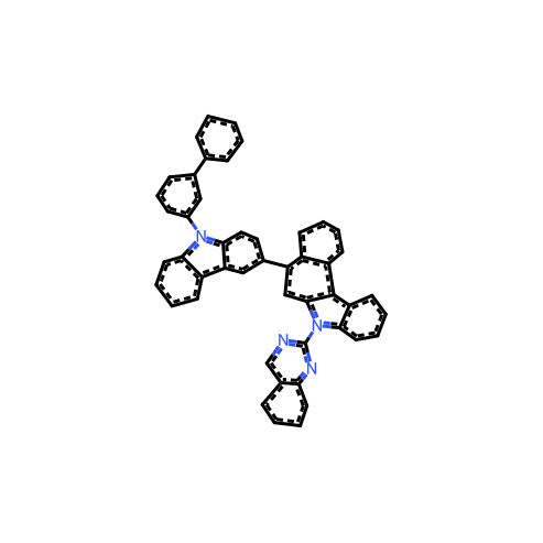 c1ccc(-c2cccc(-n3c4ccccc4c4cc(-c5cc6c(c7ccccc57)c5ccccc5n6-c5ncc6ccccc6n5)ccc43)c2)cc1